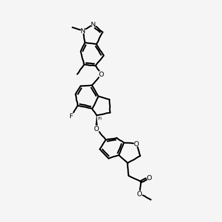 COC(=O)CC1COc2cc(O[C@@H]3CCc4c(Oc5cc6cnn(C)c6cc5C)ccc(F)c43)ccc21